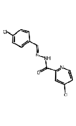 O=C(NN=Cc1ccc(Cl)cc1)c1cc(Cl)ccn1